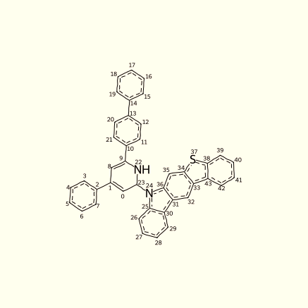 C1=C(c2ccccc2)C=C(c2ccc(-c3ccccc3)cc2)NC1n1c2ccccc2c2cc3c(cc21)sc1ccccc13